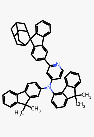 CC1(C)c2ccccc2-c2ccc(N(c3ccnc(-c4ccc5c(c4)-c4ccccc4C54C5CC6CC(C5)CC4C6)c3)c3cccc4c3-c3ccccc3C4(C)C)cc21